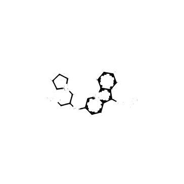 CCOC(=O)c1c2ccccc2n2cc(OC(CC#N)CN3CCCC3)ccc12